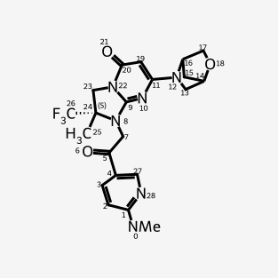 CNc1ccc(C(=O)CN2c3nc(N4CC5CC4CO5)cc(=O)n3C[C@@]2(C)C(F)(F)F)cn1